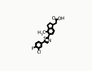 Cc1c(-c2ncc(-c3ccc(F)c(Cl)c3)s2)ccc2c1CCC2CC(=O)O